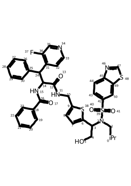 CC(C)CN(C(CO)c1ccc(CNC(=O)C(NC(=O)c2ccccc2)C(c2ccccc2)c2ccncc2F)s1)S(=O)(=O)c1ccc2ncsc2c1